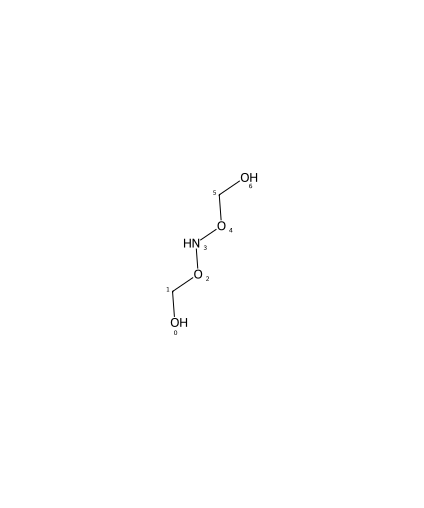 OCONOCO